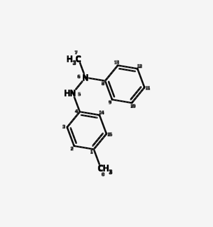 Cc1ccc(NN(C)c2ccccc2)cc1